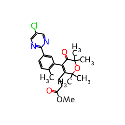 COC(=O)CCC1=C(c2cc(-c3ncc(Cl)cn3)ccc2C)C(=O)C(C)(C)OC1(C)C